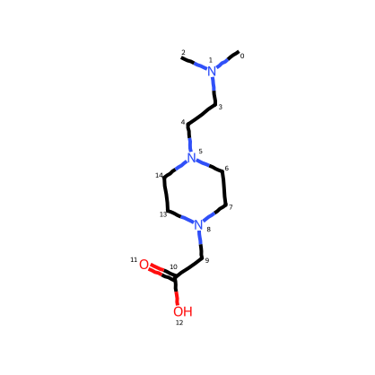 CN(C)CCN1CCN(CC(=O)O)CC1